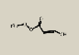 CC=CC(=O)OOC(C)(C)C